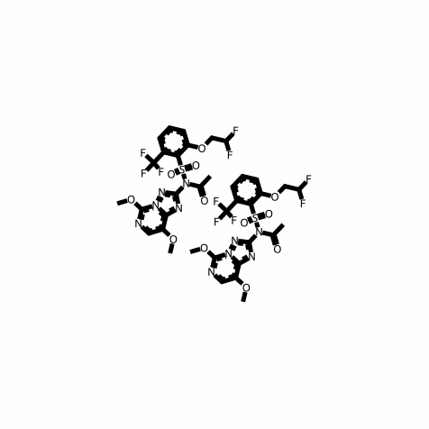 COc1cnc(OC)n2nc(N(C(C)=O)S(=O)(=O)c3c(OCC(F)F)cccc3C(F)(F)F)nc12.COc1cnc(OC)n2nc(N(C(C)=O)S(=O)(=O)c3c(OCC(F)F)cccc3C(F)(F)F)nc12